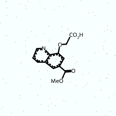 COC(=O)c1cc(OCC(=O)O)c2ncccc2c1